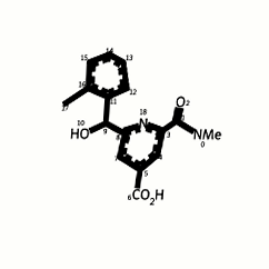 CNC(=O)c1cc(C(=O)O)cc(C(O)c2ccccc2C)n1